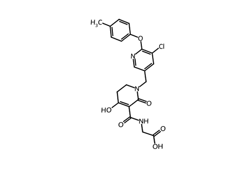 Cc1ccc(Oc2ncc(CN3CCC(O)=C(C(=O)NCC(=O)O)C3=O)cc2Cl)cc1